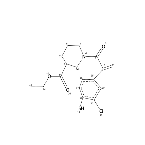 C=C(C(=O)N1CCCC(C(=O)OCC)C1)c1ccc(S)c(Cl)c1